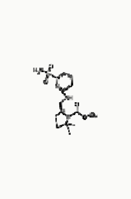 CC(C)(C)OC(=O)N1[C@H](CNc2cccc(S(N)(=O)=O)n2)CCC1(C)C